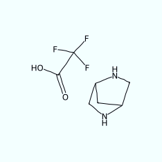 C1NC2CNC1C2.O=C(O)C(F)(F)F